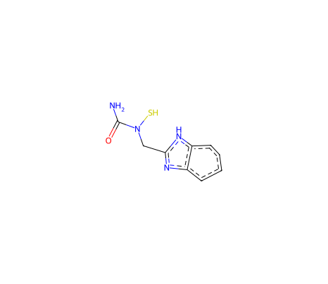 NC(=O)N(S)Cc1nc2ccccc2[nH]1